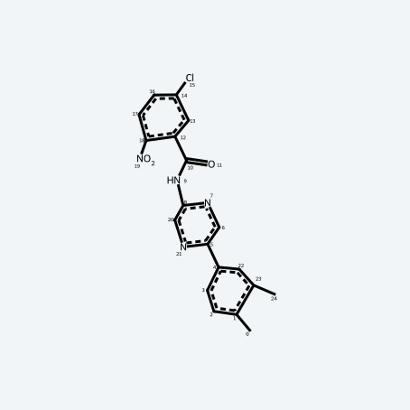 Cc1ccc(-c2cnc(NC(=O)c3cc(Cl)ccc3[N+](=O)[O-])cn2)cc1C